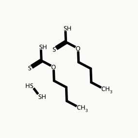 CCCCOC(=S)S.CCCCOC(=S)S.SS